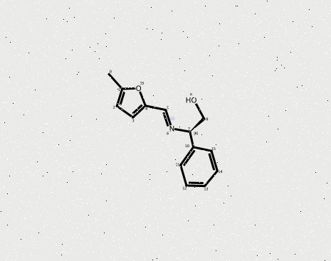 Cc1ccc(/C=N/[C@@H](CO)c2ccccc2)o1